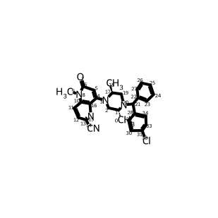 C[C@@H]1CN(c2cc(=O)n(C)c3ccc(C#N)nc23)[C@@H](C)CN1C(c1ccccc1)c1ccc(Cl)cc1